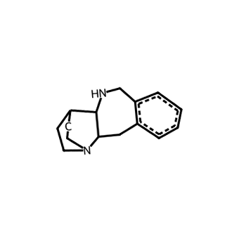 c1ccc2c(c1)CNC1C3CCN(CC3)C1C2